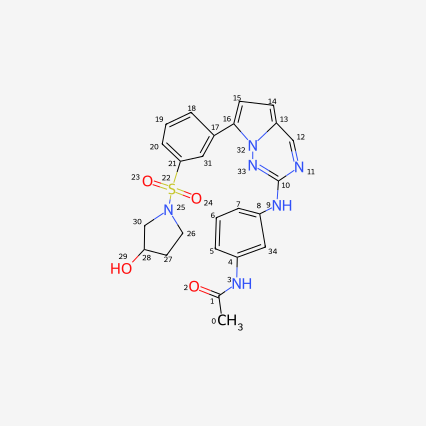 CC(=O)Nc1cccc(Nc2ncc3ccc(-c4cccc(S(=O)(=O)N5CCC(O)C5)c4)n3n2)c1